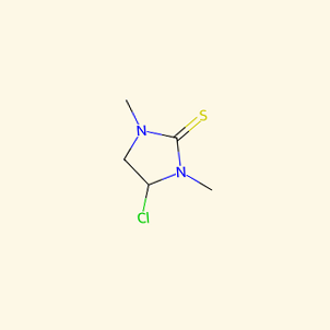 CN1CC(Cl)N(C)C1=S